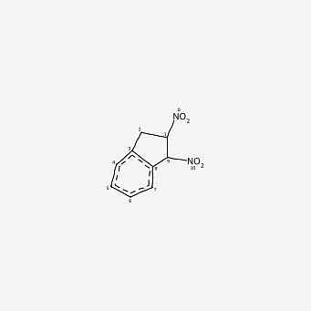 O=[N+]([O-])C1Cc2ccccc2C1[N+](=O)[O-]